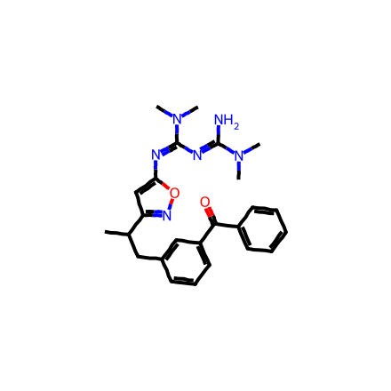 CC(Cc1cccc(C(=O)c2ccccc2)c1)c1cc(N=C(N=C(N)N(C)C)N(C)C)on1